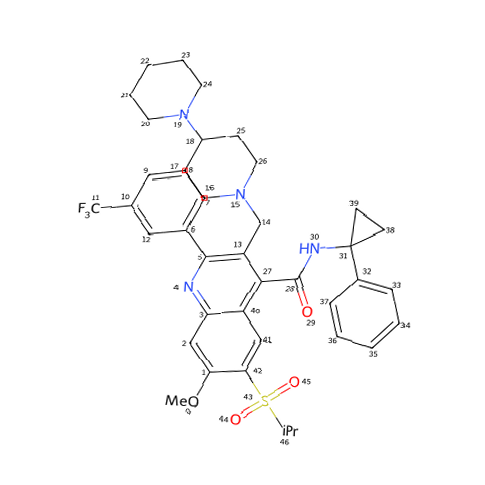 COc1cc2nc(-c3cccc(C(F)(F)F)c3)c(CN3CCC(N4CCCCC4)CC3)c(C(=O)NC3(c4ccccc4)CC3)c2cc1S(=O)(=O)C(C)C